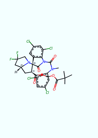 CN(C(=O)N1C(=O)[C@]2(c3cc(Cl)cc(Cl)c31)[C@@H](C(=O)OCOC(=O)C(C)(C)C)C[C@@H]1CC(F)(F)CN12)c1cc(Cl)cc(Cl)c1